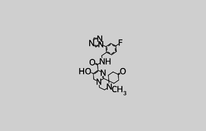 CN1CCN2CC(O)=C(C(=O)NCc3ccc(F)cc3-n3cncn3)N=C2C12CCC(=O)CC2